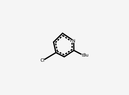 CC(C)(C)c1cc(Cl)ccn1